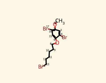 COc1cc(Br)c(OCCCCCCBr)cc1Br